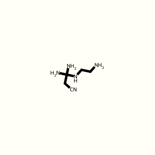 N#CCC(N)(N)NCCN